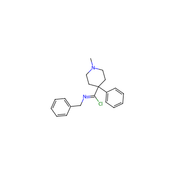 CN1CCC(C(Cl)=NCc2ccccc2)(c2ccccc2)CC1